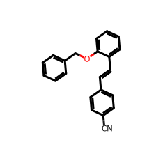 N#Cc1ccc(C=Cc2ccccc2OCc2ccccc2)cc1